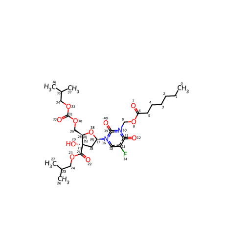 CCCCCCC(=O)OCn1c(=O)c(F)cn([C@H]2C[C@@](O)(C(=O)OCC(C)C)[C@@H](COC(=O)OCC(C)C)O2)c1=O